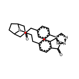 O=C1OCc2cc(CCN3CC4CCC(C3)N4C(=O)Cc3ccc(-n4cnnn4)cc3)ccc21